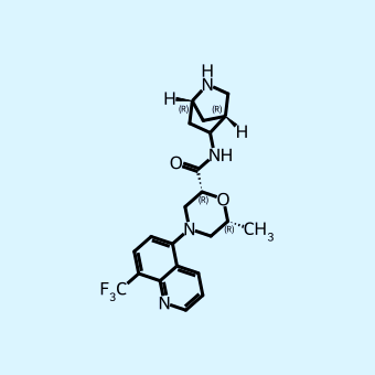 C[C@@H]1CN(c2ccc(C(F)(F)F)c3ncccc23)C[C@H](C(=O)NC2C[C@H]3C[C@@H]2CN3)O1